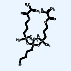 C=C(C)C(=O)OCCC[Si](C)(C)O[Si](C)(CCCCBr)O[Si](C)(C)CCCOC(=O)C(=C)C